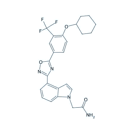 NC(=O)Cn1ccc2c(-c3noc(-c4ccc(OC5CCCCC5)c(C(F)(F)F)c4)n3)cccc21